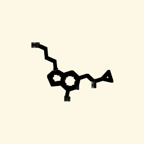 CCc1nc(CNC2CC2)cc2c1ccn2CCCO